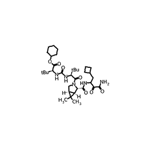 CC(C)(C)[C@H](NC(=O)N[C@H](C(=O)N1C[C@H]2[C@@H]([C@H]1C(=O)NC(CC1CCC1)C(=O)C(N)=O)C2(C)C)C(C)(C)C)C(=O)OC1CCCCC1